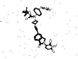 CC(C)(C)OC(=O)N([C@H]1CC[C@@H](N=[N+]=[N-])CC1)[C@H]1C[C@H](C#Cc2ccc3c(c2)CN(C2CCC(=O)NC2=O)C3=O)C1